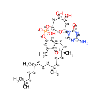 Cc1cc(OP(=O)(O)OC2CO[C@@H](n3cnc(N)nc3=O)C[C@@H](O)[C@H](O)C2)cc2c1OC(C)(CCCC(C)CCCC(C)CCCC(C)C)CC2